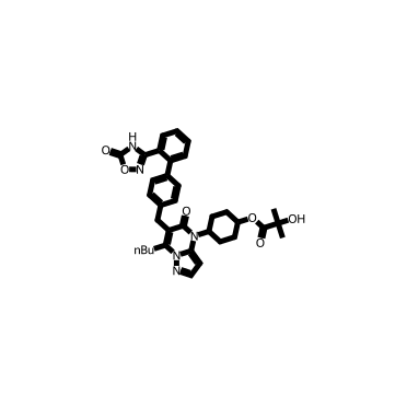 CCCCc1c(Cc2ccc(-c3ccccc3-c3noc(=O)[nH]3)cc2)c(=O)n(C2CCC(OC(=O)C(C)(C)O)CC2)c2ccnn12